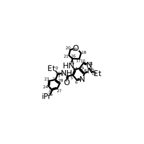 CC[C@@H](NC(=O)c1cnc2c(cnn2CC)c1NC1CCOCC1)c1ccc(C(C)C)cc1